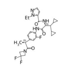 CCn1nccc1C(=O)N[C@H](C(=O)Nc1ccc([C@H](C)C(=O)N2CC(F)(F)C2)cc1F)C(C1CC1)C1CC1